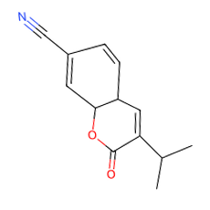 CC(C)C1=CC2C=CC(C#N)=CC2OC1=O